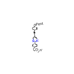 CCCCCc1ccc(C#Cc2cnc(-c3ccc(C(=O)O)cc3)nc2)cc1